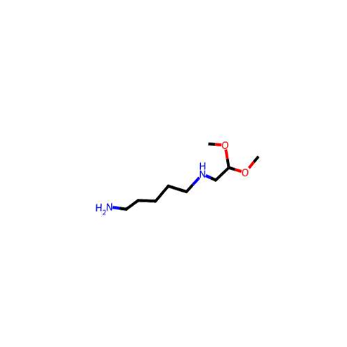 COC(CNCCCCCN)OC